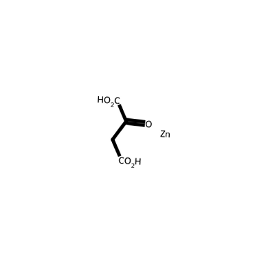 O=C(O)CC(=O)C(=O)O.[Zn]